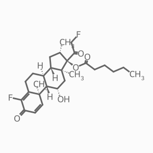 CCCCCC(=O)O[C@]1(C(=O)CF)[C@@H](C)C[C@H]2[C@@H]3CCC4=C(F)C(=O)C=C[C@]4(C)[C@H]3[C@@H](O)C[C@@]21C